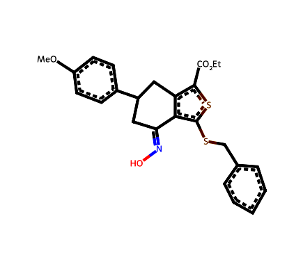 CCOC(=O)c1sc(SCc2ccccc2)c2c1CC(c1ccc(OC)cc1)C/C2=N\O